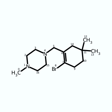 CN1CCN(CC2=C(Br)CCC(C)(C)C2)CC1